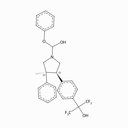 C[C@]1(c2ccccc2)CN(C(O)Oc2ccccc2)C[C@H]1c1ccc(C(O)(C(F)(F)F)C(F)(F)F)cc1